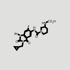 CC(C)n1c(=O)n(CC2CC2)c(=O)c2cc(NC(=O)N3CCCC(NC(=O)O)C3)c(F)cc21